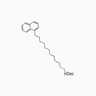 CCCCCCCCCCCCCCCCCCCCCCc1cccc2ccccc12